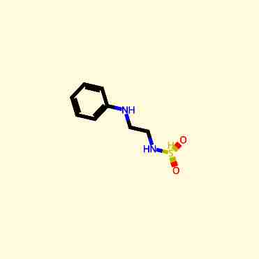 O=[SH](=O)NCCNc1ccccc1